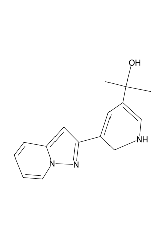 CC(C)(O)C1=CNCC(c2cc3ccccn3n2)=C1